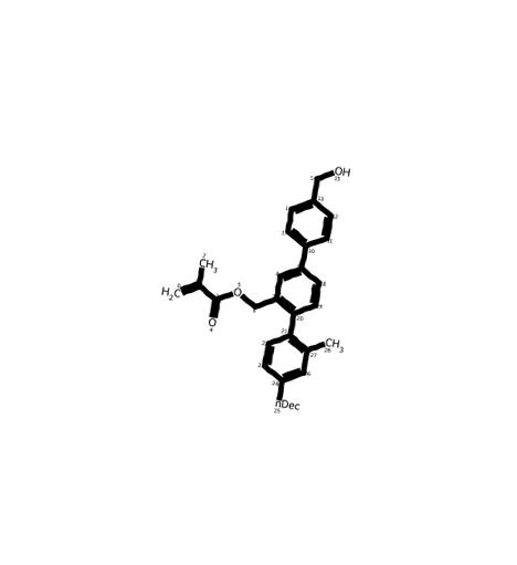 C=C(C)C(=O)OCc1cc(-c2ccc(CO)cc2)ccc1-c1ccc(CCCCCCCCCC)cc1C